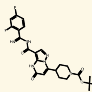 CC(C)(C)OC(=O)N1CCC(c2cc(=O)[nH]c3c(C(=O)NC(=N)c4ccc(F)cc4F)cnn23)CC1